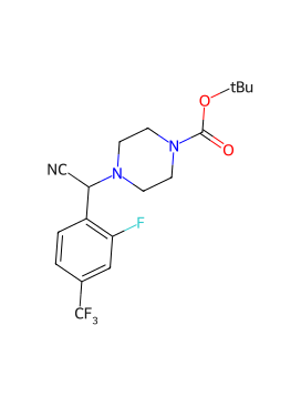 CC(C)(C)OC(=O)N1CCN(C(C#N)c2ccc(C(F)(F)F)cc2F)CC1